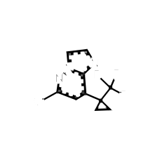 FC(F)(F)C1(c2cc(Cl)nn3ccnc23)CC1